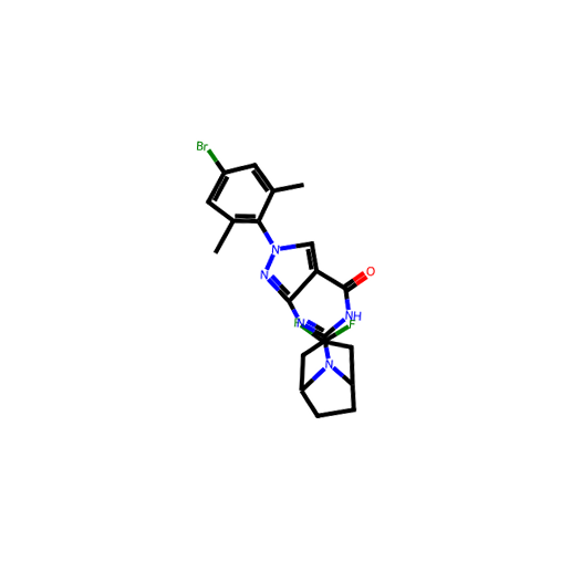 Cc1cc(Br)cc(C)c1-n1cc2c(=O)[nH]c(N3C4CCC3CC(F)(F)C4)nc2n1